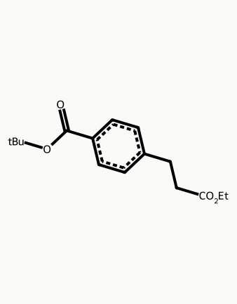 CCOC(=O)CCc1ccc(C(=O)OC(C)(C)C)cc1